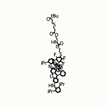 CC(C)c1cccc(C(C)C)c1/N=c1\ccc2c(-c3ccccc3S(=O)(=O)NS(=O)(=O)c3c(F)c(F)c(SCCOC(=O)NCCOC(=O)CCSCCC(=O)C(C)(C)C)c(F)c3F)c3ccc(Nc4c(C(C)C)cccc4C(C)C)cc3oc-2c1